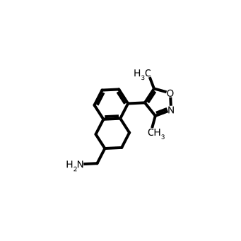 Cc1noc(C)c1-c1cccc2c1CCC(CN)C2